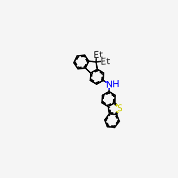 CCC1(CC)c2ccccc2-c2ccc(Nc3ccc4c(c3)sc3ccccc34)cc21